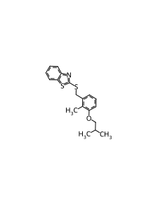 Cc1c(CSc2nc3ccccc3s2)cccc1OCC(C)C